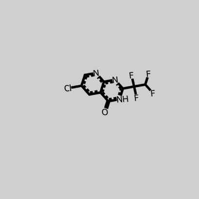 O=c1[nH]c(C(F)(F)C(F)F)nc2ncc(Cl)cc12